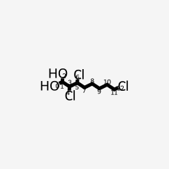 OC(O)C(Cl)C(Cl)CCCCCCl